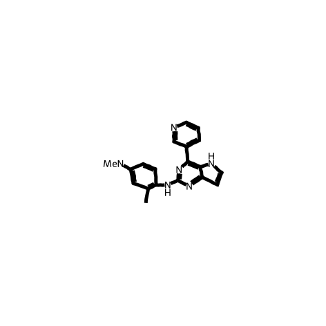 CNc1ccc(Nc2nc(-c3cccnc3)c3[nH]ccc3n2)c(C)c1